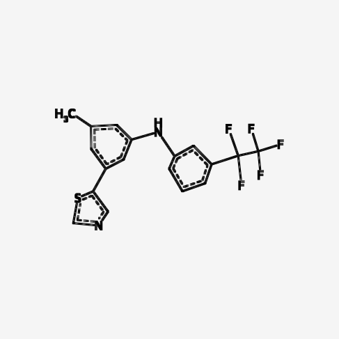 Cc1cc(Nc2cccc(C(F)(F)C(F)(F)F)c2)cc(-c2cncs2)c1